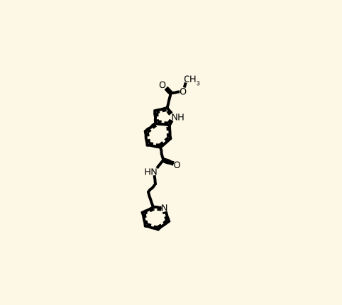 COC(=O)c1cc2ccc(C(=O)NCCc3ccccn3)cc2[nH]1